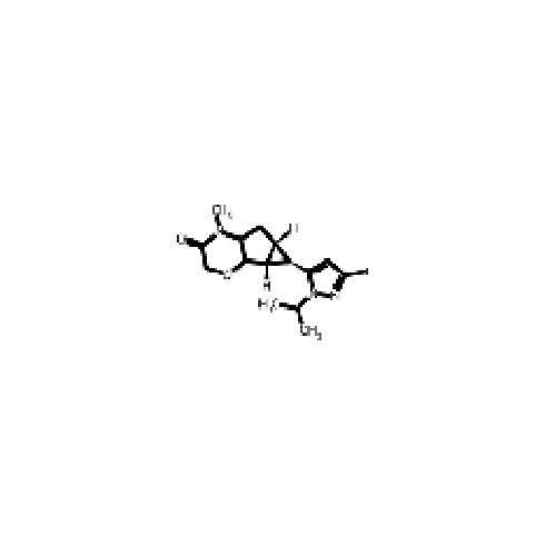 CC(C)n1nc(I)cc1[C@@H]1[C@H]2CC3C(OCC(=O)N3C)[C@H]21